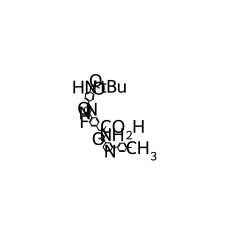 Cc1ccc(C2=CC(C(=O)NC(Cc3ccc(-c4noc(-c5ccc(NC(=O)OC(C)(C)C)cc5)n4)c(F)c3)C(=O)O)CC=N2)cc1